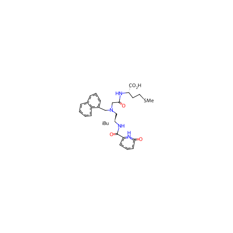 CC[C@H](C)[C@@H](CN(CC(=O)N[C@@H](CCSC)C(=O)O)Cc1cccc2ccccc12)NC(=O)c1cccc(=O)[nH]1